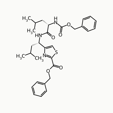 CC(C)C[C@H](NC(=O)OCc1ccccc1)C(=O)N[C@@H](CC(C)C)c1csc(C(=O)OCc2ccccc2)n1